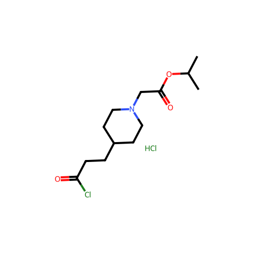 CC(C)OC(=O)CN1CCC(CCC(=O)Cl)CC1.Cl